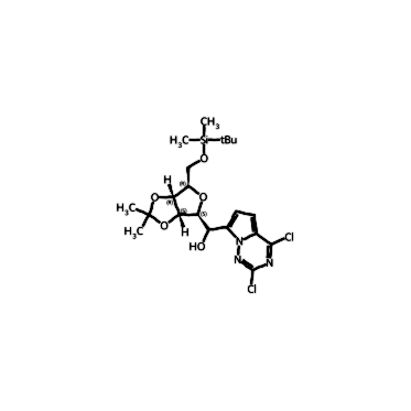 CC1(C)O[C@@H]2[C@H](O1)[C@@H](CO[Si](C)(C)C(C)(C)C)O[C@H]2C(O)c1ccc2c(Cl)nc(Cl)nn12